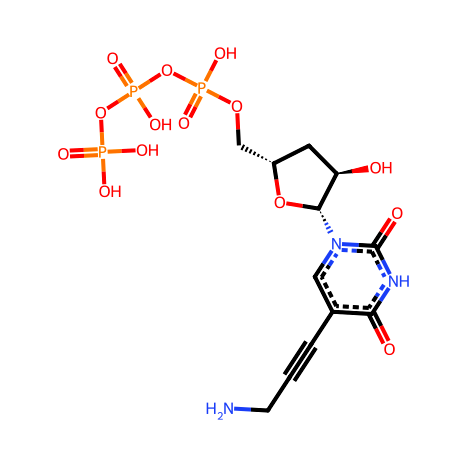 NCC#Cc1cn([C@@H]2O[C@H](COP(=O)(O)OP(=O)(O)OP(=O)(O)O)C[C@H]2O)c(=O)[nH]c1=O